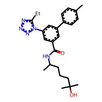 CCc1nnnn1-c1cc(C(=O)NC(C)CCCC(C)(C)O)cc(-c2ccc(C)cc2)c1